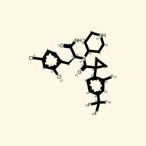 NC(=O)[C@H](Cc1ccc(Cl)cc1Cl)N(C(=O)C1(c2ccc(C(F)(F)F)cc2F)CC1)C1CCNCC1